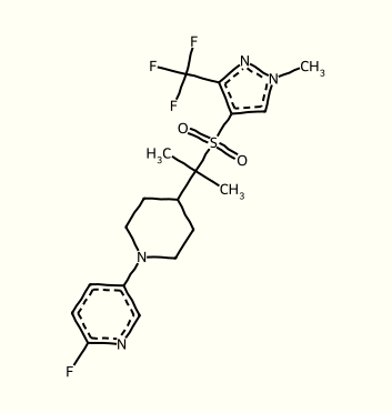 Cn1cc(S(=O)(=O)C(C)(C)C2CCN(c3ccc(F)nc3)CC2)c(C(F)(F)F)n1